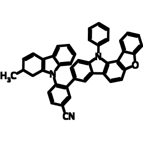 CC1C=Cc2c(n(-c3ccc(C#N)cc3-c3ccc4c(c3)c3ccc5oc6ccccc6c5c3n4-c3ccccc3)c3ccccc23)C1